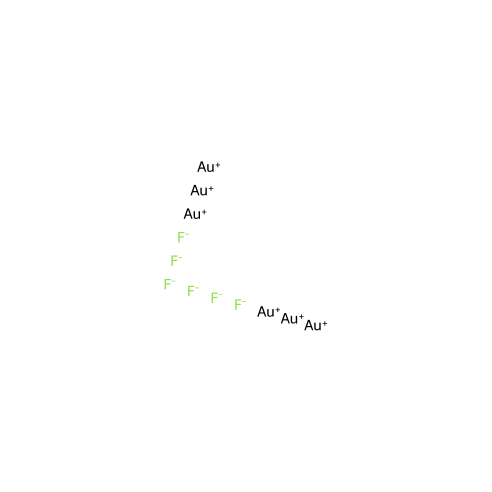 [Au+].[Au+].[Au+].[Au+].[Au+].[Au+].[F-].[F-].[F-].[F-].[F-].[F-]